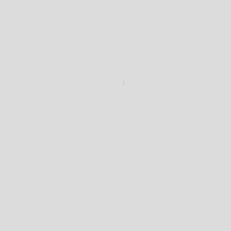 CCCCCCC=O.CCCCCCCCCCCCCC=O